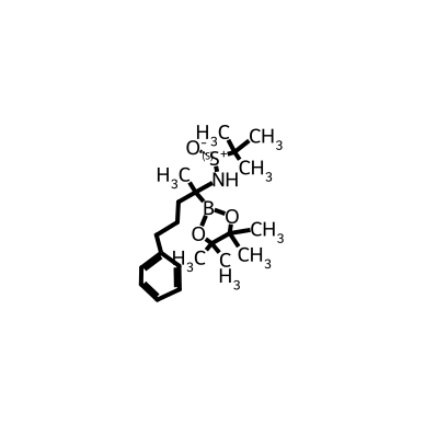 CC(CCCc1ccccc1)(N[S@+]([O-])C(C)(C)C)B1OC(C)(C)C(C)(C)O1